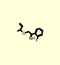 C=CC(C)OCC(=N)c1ccccc1F